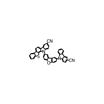 N#Cc1ccc2c(c1)c1ccccc1n2-c1ccc2oc3ccc(-n4c5ccc(C#N)cc5c5ccc6c7ccccc7sc6c54)cc3c2c1